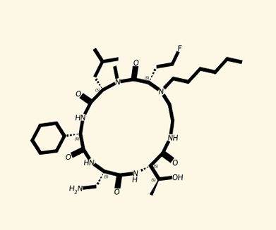 CCCCCCN1CCNC(=O)[C@H]([C@H](C)O)NC(=O)[C@H](CN)NC(=O)[C@H](C2CCCCC2)NC(=O)[C@H](CC(C)C)N(C)C(=O)[C@@H]1CCF